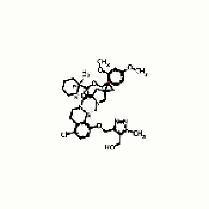 COc1ccc(COC(=O)[C@@]2(C)CCCC[C@H]2C(=O)N2CCc3c(Cl)ccc(OCc4nnn(C)c4CO)c3[C@H]2CN2CC3(CC3)CC2=O)c(OC)c1